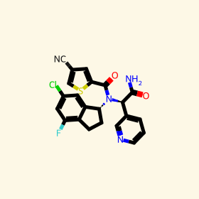 N#Cc1csc(C(=O)N([C@@H]2CCc3c(F)cc(Cl)cc32)[C@@H](C(N)=O)c2cccnc2)c1